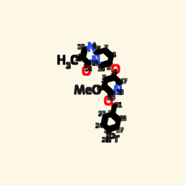 COc1cc(Oc2ccc3ncc(C)c(=O)n3c2)cnc1OCc1ccc(C(C)C)cc1